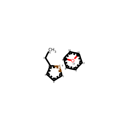 CCc1cccs1.c1cc2cc(c1)O2